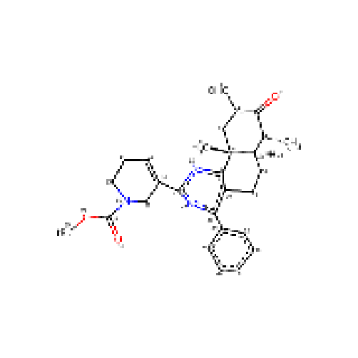 C[C@H]1C(=O)C(C=O)C[C@@]2(C)c3nc(C4=CCCN(C(=O)OC(C)(C)C)C4)nc(-c4ccccc4)c3CC[C@H]12